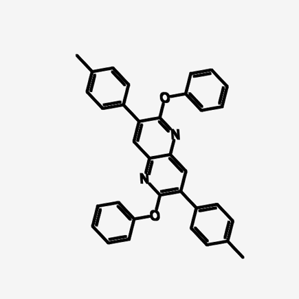 Cc1ccc(-c2cc3nc(Oc4ccccc4)c(-c4ccc(C)cc4)cc3nc2Oc2ccccc2)cc1